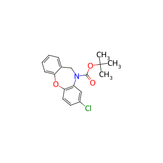 CC(C)(C)OC(=O)N1Cc2ccccc2Oc2ccc(Cl)cc21